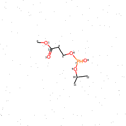 COC(=O)CCO[PH](=O)OC(C)C